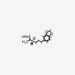 CCCCCCC(C)S(=O)(=O)CCCc1ccc2c(c1)OCO2